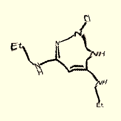 CCNC1=CC(NCC)=NN(Cl)N1